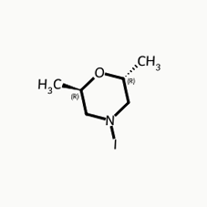 C[C@@H]1CN(I)C[C@@H](C)O1